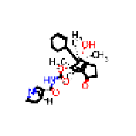 C[C@@H]1CCC23CCC(=O)C2[C@]1(C)[C@H](OC(=O)NC(=O)[C@H]1CN2CC[C@@H]1C2)C[C@@](C)(C1C=CCCC1)[C@@H](O)[C@@H]3C